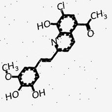 COc1cc(C=Cc2ccc3c(C(C)=O)cc(Cl)c(O)c3n2)cc(O)c1O